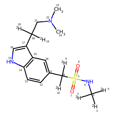 [2H]C([2H])([2H])NS(=O)(=O)C([2H])([2H])c1ccc2[nH]cc(C([2H])([2H])CN(C)C)c2c1